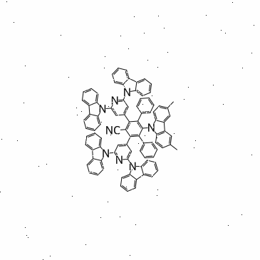 Cc1ccc2c(c1)c1cc(C)ccc1n2-c1c(-c2ccccc2)c(-c2cc(-n3c4ccccc4c4ccccc43)nc(-n3c4ccccc4c4ccccc43)c2)c(C#N)c(-c2cc(-n3c4ccccc4c4ccccc43)nc(-n3c4ccccc4c4ccccc43)c2)c1-c1ccccc1